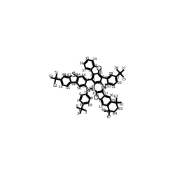 CC(C)(C)c1ccc(N2B3c4oc5cc6c(cc5c4-n4c5ccc(C(C)(C)C)cc5c5c7oc8ccccc8c7c(c3c54)-c3cc4sc5cc(C(C)(C)C)ccc5c4cc32)C(C)(C)CCC6(C)C)cc1